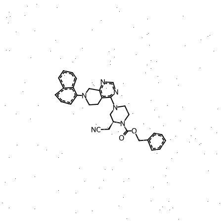 N#CC[C@H]1CN(c2ncnc3c2CCN(c2cccc4ccccc24)C3)CCN1C(=O)OCc1ccccc1